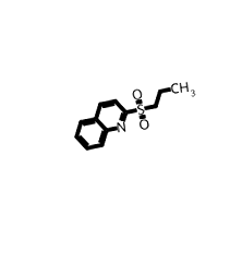 CCCS(=O)(=O)c1ccc2ccccc2n1